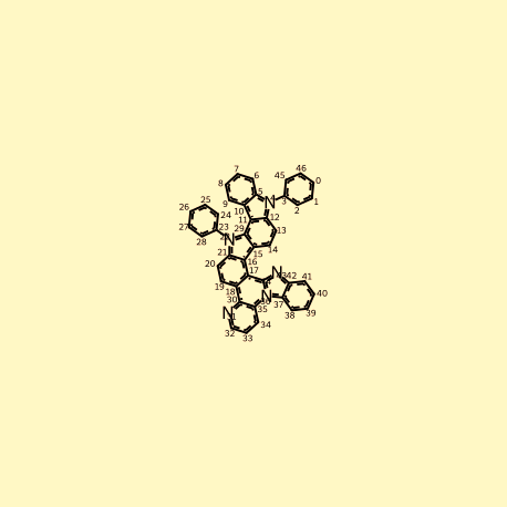 c1ccc(-n2c3ccccc3c3c2ccc2c4c5c(ccc4n(-c4ccccc4)c23)c2ncccc2n2c3ccccc3nc52)cc1